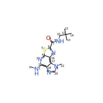 CNc1nc2sc(C(=O)NCC(C)(C)C)nc2c2c1ncn2C